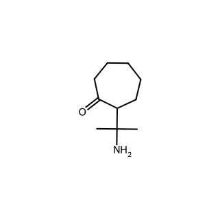 CC(C)(N)C1CCCCCC1=O